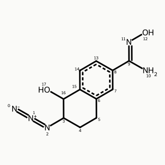 [N-]=[N+]=NC1CCc2cc(/C(N)=N/O)ccc2C1O